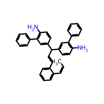 C/C=C\c1ccccc1/C=C/C(c1ccc(N)c(-c2ccccc2)c1)c1ccc(N)c(-c2ccccc2)c1